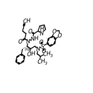 C#CCCC(=O)N(NC(=O)C1CCCN1)[C@@H](Cc1ccccc1)[C@H](O)CN(CC(C)C)S(=O)(=O)c1ccc2c(c1)OCO2